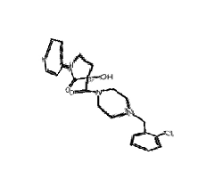 O=C(N1CCN(Cc2ccccc2Cl)CC1)[C@@]1(O)CCN(c2ccccc2)C1=O